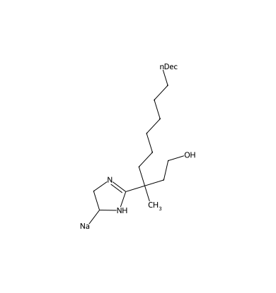 CCCCCCCCCCCCCCCCC(C)(CCO)C1=NC[CH]([Na])N1